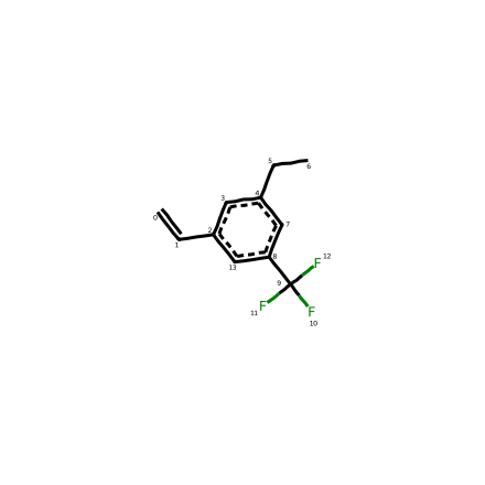 C=Cc1cc(CC)cc(C(F)(F)F)c1